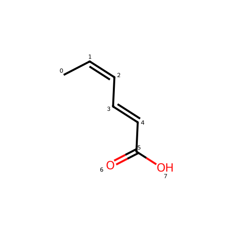 C/C=C\C=CC(=O)O